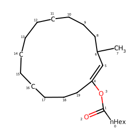 CCCCCCC(=O)OC1=CC(C)CCCCCCCCCCCC1